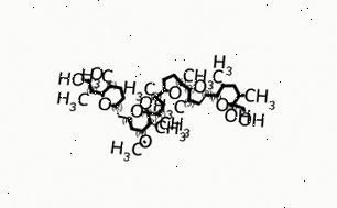 CO[C@@H]1C[C@@H](C[C@H]2CC[C@H](C)C([C@@H](C)C(=O)O)O2)O[C@]2(O[C@@](C)(C3CC[C@@](C)([C@@H]4O[C@@H]([C@@H]5O[C@@](O)(CO)C(C)CC5C)C[C@@H]4C)O3)C[C@H]2C)[C@@H]1C